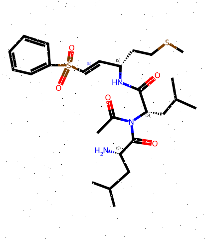 CSCC[C@@H](/C=C/S(=O)(=O)c1ccccc1)NC(=O)[C@H](CC(C)C)N(C(C)=O)C(=O)[C@@H](N)CC(C)C